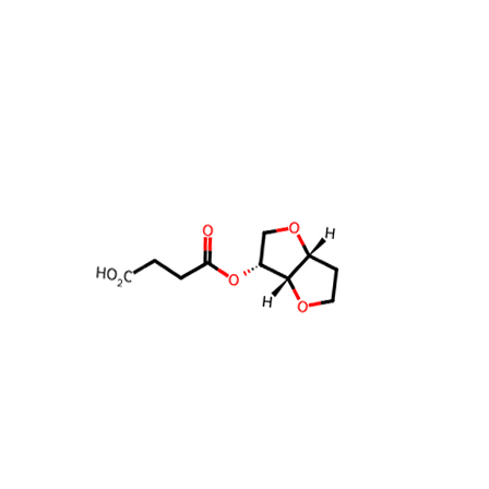 O=C(O)CCC(=O)O[C@@H]1CO[C@@H]2CCO[C@@H]21